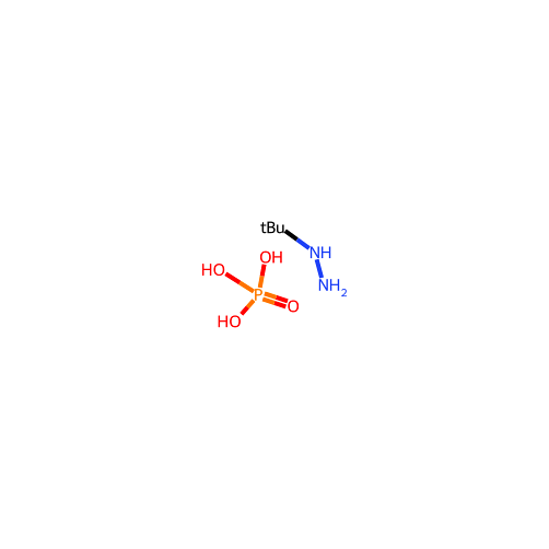 CC(C)(C)NN.O=P(O)(O)O